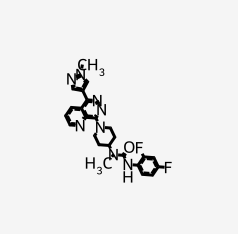 CN(C(=O)Nc1ccc(F)cc1F)C1CCN(c2nnc(-c3cnn(C)c3)c3cccnc23)CC1